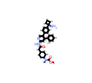 COC(=O)N(C)C1CCC(CC(=O)Nc2cc(-c3ccccc3F)c(-c3ccc(C4(N)CCC4)cc3)cn2)CC1